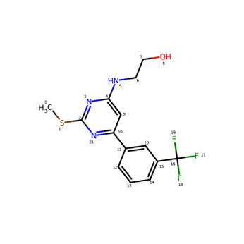 CSc1nc(NCCO)cc(-c2cccc(C(F)(F)F)c2)n1